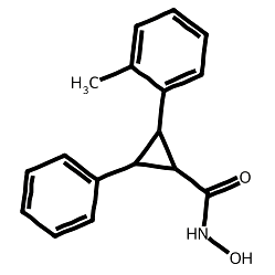 Cc1ccccc1C1C(C(=O)NO)C1c1ccccc1